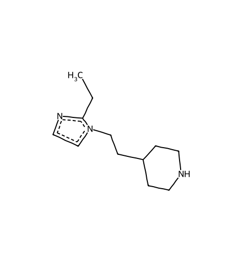 CCc1nccn1CCC1CCNCC1